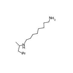 CC(C)CC(C)NCCCCCCCCN